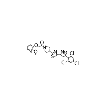 COc1ncccc1OCC(=O)N1CCC(c2nc(C3=NOC(c4c(Cl)cc(Cl)cc4Cl)C3)cs2)CC1